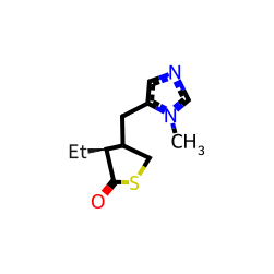 CC[C@@H]1C(=O)SCC1Cc1cncn1C